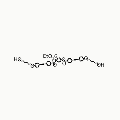 CCOC(=O)c1cc(OC(=O)c2ccc(C#Cc3ccc(OCCCCCCO)cc3)cc2)ccc1OC(=O)c1ccc(C#Cc2ccc(OCCCCCCO)cc2)cc1